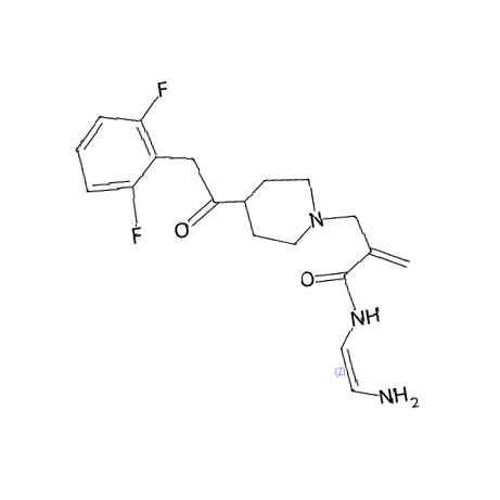 C=C(CN1CCC(C(=O)Cc2c(F)cccc2F)CC1)C(=O)N/C=C\N